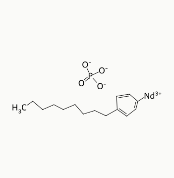 CCCCCCCCCc1cc[c]([Nd+3])cc1.O=P([O-])([O-])[O-]